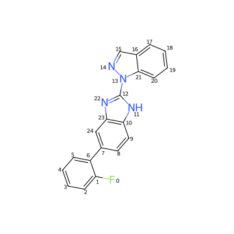 Fc1ccccc1-c1ccc2[nH]c(-n3ncc4ccccc43)nc2c1